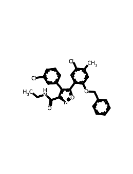 CCNC(=O)c1noc(-c2cc(Cl)c(C)cc2OCc2ccccc2)c1-c1cccc(Cl)c1